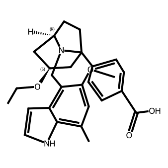 CCO[C@H]1C[C@H]2CCC(c3ccc(C(=O)O)cc3)(C1)N2Cc1c(OC)cc(C)c2[nH]ccc12